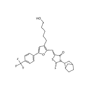 O=C1/C(=C/c2oc(-c3ccc(C(F)(F)F)cc3)cc2CCCCCO)SC(=S)N1C1CC2CCC1C2